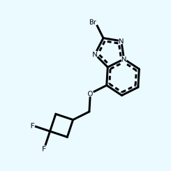 FC1(F)CC(COc2cccn3nc(Br)nc23)C1